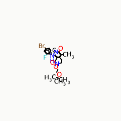 Cc1c2c(c(Nc3ccc(Br)cc3F)n(C)c1=O)C(=O)N(OCCOC(C)(C)C)CC2